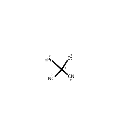 CCCC(C#N)(C#N)CC